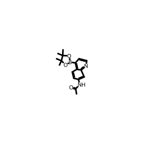 CC(=O)Nc1ccc2c(B3OC(C)(C)C(C)(C)O3)ccnc2c1